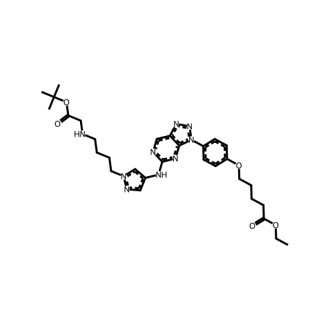 CCOC(=O)CCCCOc1ccc(-n2nnc3cnc(Nc4cnn(CCCCNCC(=O)OC(C)(C)C)c4)nc32)cc1